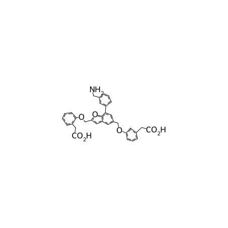 NCc1cccc(-c2cc(COc3cccc(CC(=O)O)c3)cc3cc(COc4ccccc4CC(=O)O)oc23)c1